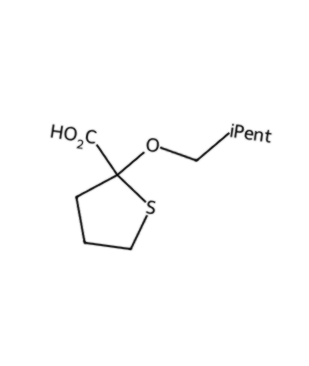 CCCC(C)COC1(C(=O)O)CCCS1